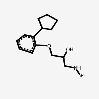 CC(C)NCC(O)COc1ccccc1C1CCCC1